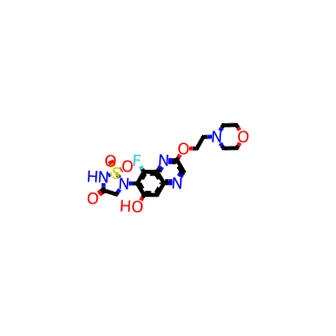 O=C1CN(c2c(O)cc3ncc(OCCN4CCOCC4)nc3c2F)S(=O)(=O)N1